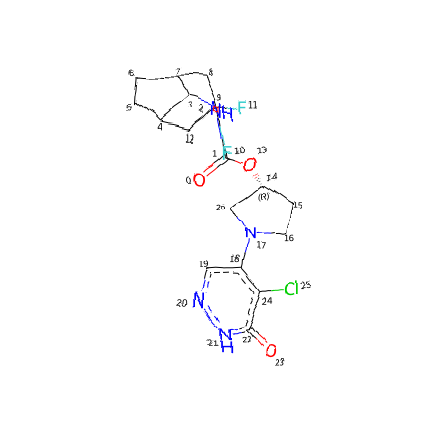 O=C(NC1C2CCC1CC(F)(F)C2)O[C@@H]1CCN(c2cn[nH]c(=O)c2Cl)C1